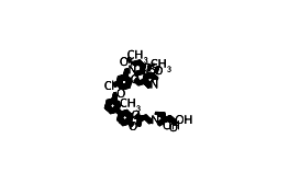 CC(=O)[C@@H]1CCCCN1Cc1cc(Cl)c(OCc2cccc(-c3ccc4c(c3)OC(CCN3CCC(O)(CC(=O)O)C3)CO4)c2C)cc1OCc1cncc(S(C)(=O)=O)c1